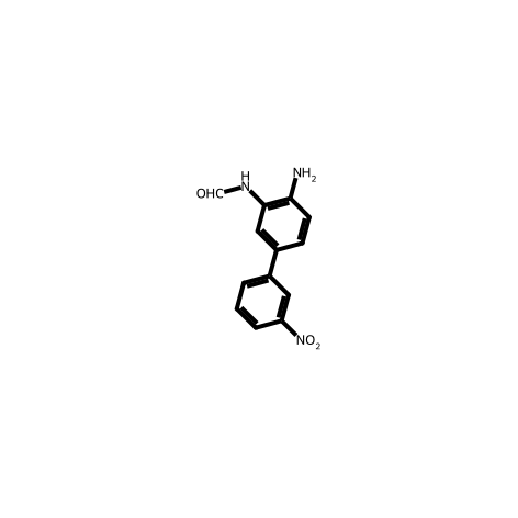 Nc1ccc(-c2cccc([N+](=O)[O-])c2)cc1NC=O